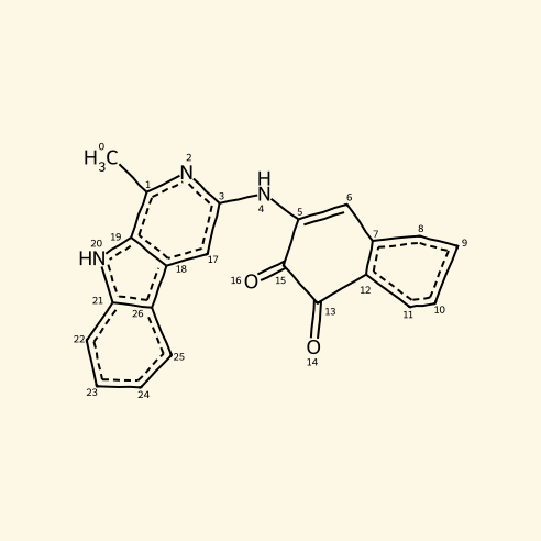 Cc1nc(NC2=Cc3ccccc3C(=O)C2=O)cc2c1[nH]c1ccccc12